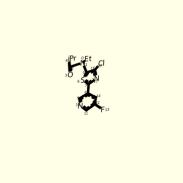 CCN(C(=O)C(C)C)c1sc(-c2cncc(F)c2)nc1Cl